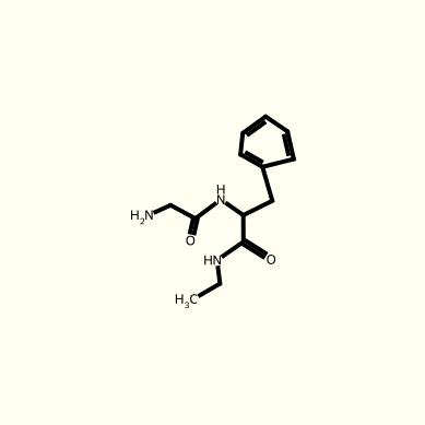 CCNC(=O)C(Cc1ccccc1)NC(=O)CN